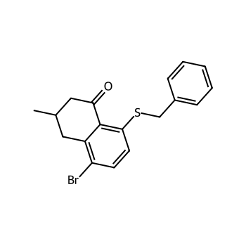 CC1CC(=O)c2c(SCc3ccccc3)ccc(Br)c2C1